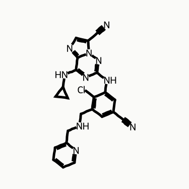 N#Cc1cc(CNCc2ccccn2)c(Cl)c(Nc2nc(NC3CC3)c3ncc(C#N)n3n2)c1